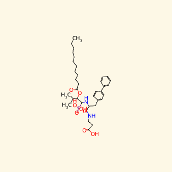 CCCCCCCCCCCC(=O)OC(C(C)C)C(NC(Cc1ccc(-c2ccccc2)cc1)C(=O)NCCC(=O)O)P(=O)(O)O